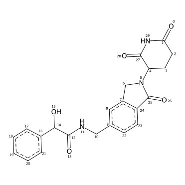 O=C1CCC(N2Cc3cc(CNC(=O)C(O)c4ccccc4)ccc3C2=O)C(=O)N1